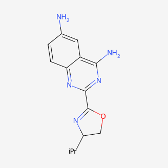 CC(C)C1COC(c2nc(N)c3cc(N)ccc3n2)=N1